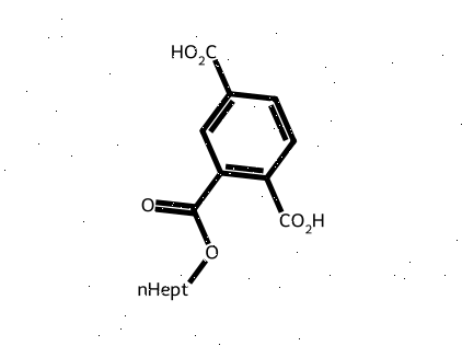 CCCCCCCOC(=O)c1cc(C(=O)O)ccc1C(=O)O